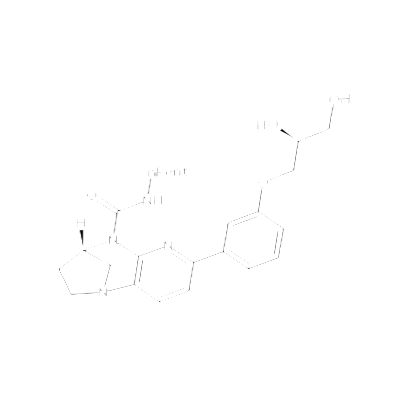 CCCCCNC(=O)N1c2nc(-c3cccc(OC[C@@H](O)CO)c3)ccc2N2CC[C@H]1C2